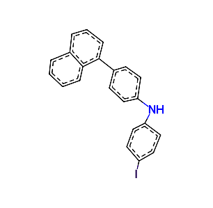 Ic1ccc(Nc2ccc(-c3cccc4ccccc34)cc2)cc1